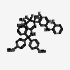 COc1ccc(C(NC2=NC(C)(c3cc(Nc4ccccc4C(F)(F)F)ccc3F)C(F)(F)C(C)(C)O2)(c2ccccc2)c2ccc(OC)cc2)cc1